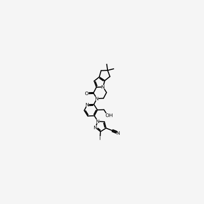 CC1(C)Cc2cc3n(c2C1)CCN(c1nccc(-n2cc(C#N)c(I)n2)c1CO)C3=O